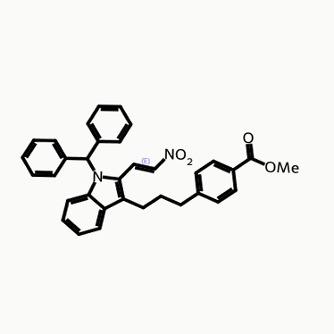 COC(=O)c1ccc(CCCc2c(/C=C/[N+](=O)[O-])n(C(c3ccccc3)c3ccccc3)c3ccccc23)cc1